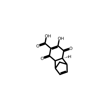 O=C(O)C1=C(O)C(=O)[C@H]2C3C=CC(C3)C2C1=O